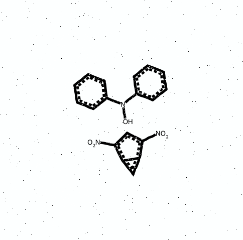 O=[N+]([O-])c1cc([N+](=O)[O-])c2cc1-2.ON(c1ccccc1)c1ccccc1